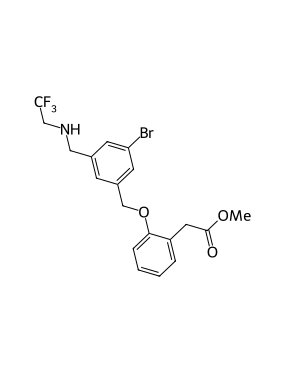 COC(=O)Cc1ccccc1OCc1cc(Br)cc(CNCC(F)(F)F)c1